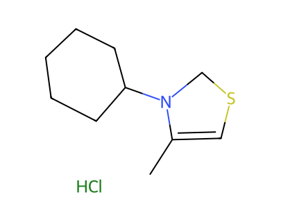 CC1=CSCN1C1CCCCC1.Cl